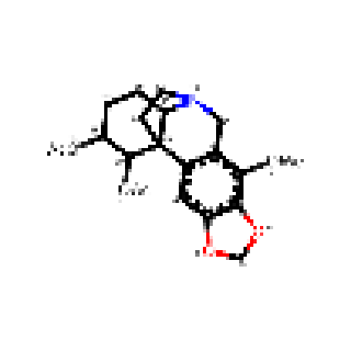 COc1c2c(cc3c1OCO3)C13CCN(C2)C1CCC(OC(C)=O)C3OC(C)=O